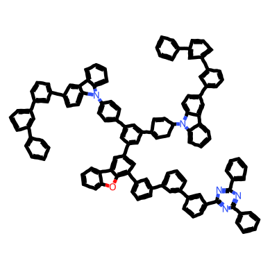 C1=CC(n2c3ccccc3c3cc(-c4cccc(-c5cccc(-c6ccccc6)c5)c4)ccc32)CC=C1c1cc(-c2ccc(-n3c4ccccc4c4cc(-c5cccc(-c6cccc(-c7ccccc7)c6)c5)ccc43)cc2)cc(-c2cc(-c3cccc(-c4cccc(-c5cccc(-c6nc(-c7ccccc7)nc(-c7ccccc7)n6)c5)c4)c3)c3oc4ccccc4c3c2)c1